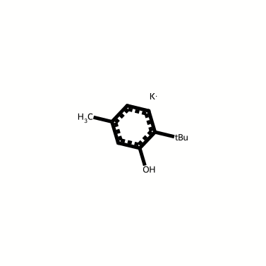 Cc1ccc(C(C)(C)C)c(O)c1.[K]